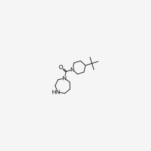 CC(C)(C)C1CCN(C(=O)N2CCCNCC2)CC1